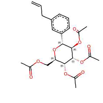 C=CCc1cccc([C@H]2O[C@H](COC(C)=O)[C@@H](OC(C)=O)[C@@H](OC(C)=O)[C@@H]2OC(C)=O)c1